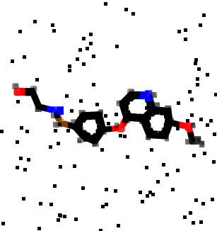 COc1ccc2c(Oc3ccc(SNCC=O)cc3)ccnc2c1